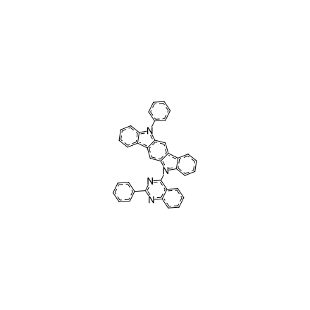 c1ccc(-c2nc(-n3c4ccccc4c4cc5c(cc43)c3ccccc3n5-c3ccccc3)c3ccccc3n2)cc1